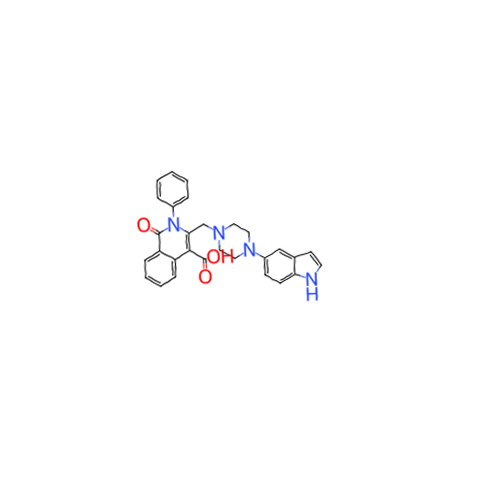 O=C(O)c1c(CN2CCN(c3ccc4[nH]ccc4c3)CC2)n(-c2ccccc2)c(=O)c2ccccc12